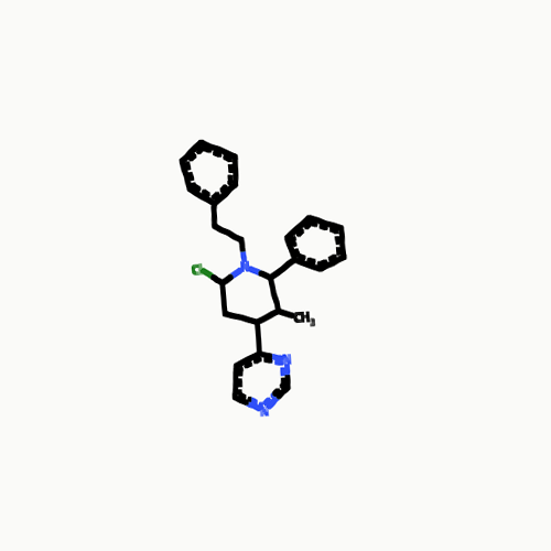 CC1C(c2ccncn2)CC(Cl)N(CCc2ccccc2)C1c1ccccc1